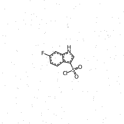 O=S(=O)(Cl)c1c[nH]c2cc(F)ccc12